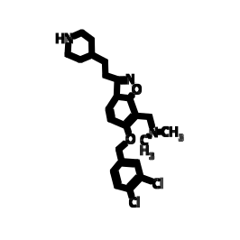 CN(C)CC1=C(OCc2ccc(Cl)c(Cl)c2)C=CC2C(CCC3CCNCC3)=NOC12